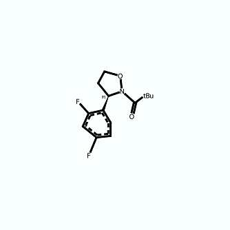 CC(C)(C)C(=O)N1OCC[C@@H]1c1ccc(F)cc1F